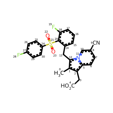 Cc1c(CC(=O)O)c2ccc(C#N)cn2c1Cc1cccc(F)c1S(=O)(=O)c1ccc(F)cc1